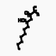 CCCCCCCC(O)CC(=O)C(C)C